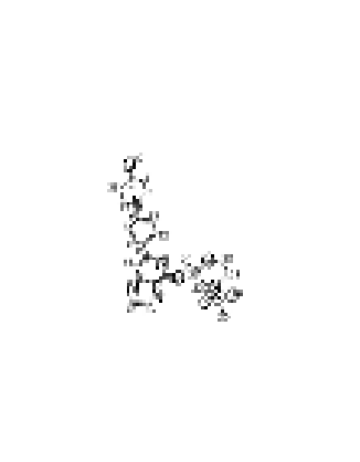 COC1CCN(c2ccc(-c3cc4nccnc4c(OCC4CN(S(C)(=O)=O)CCO4)n3)cc2)CC1